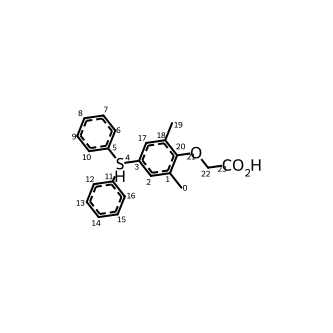 Cc1cc([SH](c2ccccc2)c2ccccc2)cc(C)c1OCC(=O)O